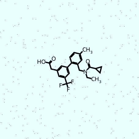 CCN(Cc1cc(C)ccc1-c1cc(CC(=O)O)cc(C(F)(F)F)c1)C(=O)C1CC1